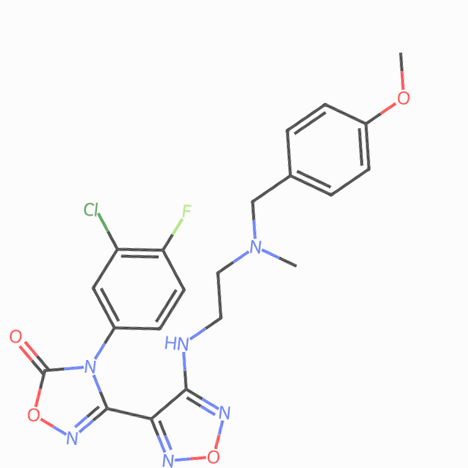 COc1ccc(CN(C)CCNc2nonc2-c2noc(=O)n2-c2ccc(F)c(Cl)c2)cc1